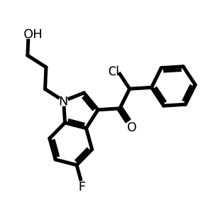 O=C(c1cn(CCCO)c2ccc(F)cc12)C(Cl)c1ccccc1